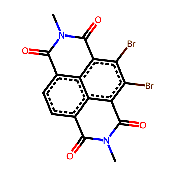 CN1C(=O)c2ccc3c4c(c(Br)c(Br)c(c24)C1=O)C(=O)N(C)C3=O